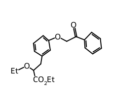 CCOC(=O)C(Cc1cccc(OCC(=O)c2ccccc2)c1)OCC